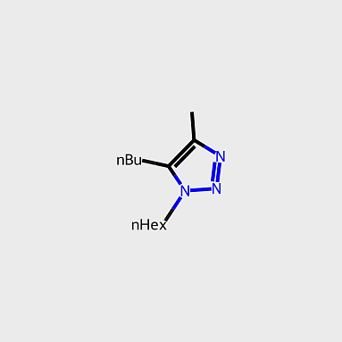 CCCCCCn1nnc(C)c1CCCC